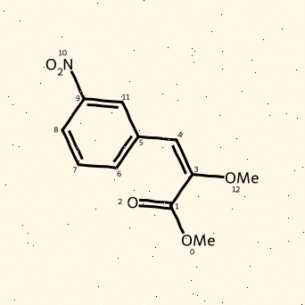 COC(=O)C(=Cc1cccc([N+](=O)[O-])c1)OC